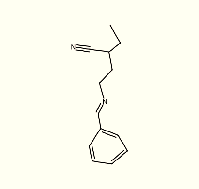 CCC(C#N)CCN=Cc1ccccc1